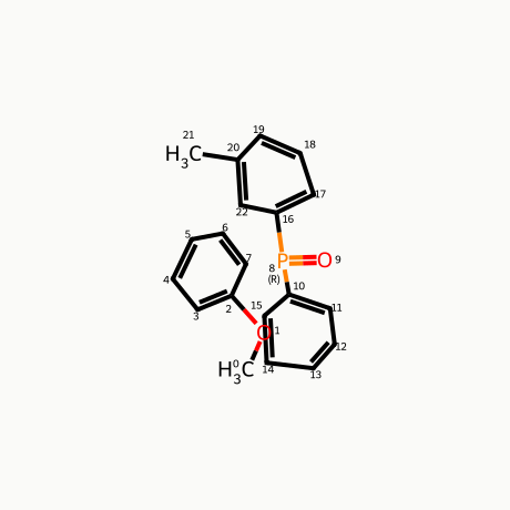 COc1ccccc1[P@@](=O)(c1ccccc1)c1cccc(C)c1